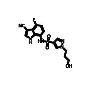 N#Cc1c[nH]c2c(NS(=O)(=O)c3cnn(CCCO)c3)ccc(F)c12